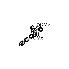 COC(=O)c1ccccc1Sc1nc(Nc2ccc(N3CCC(N4CCN(C)CC4)CC3)cc2OC)nc2ccsc12